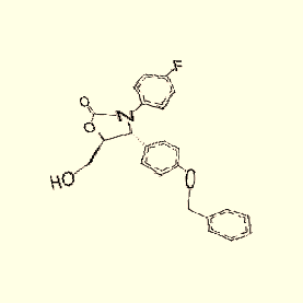 O=C1O[C@H](CO)[C@@H](c2ccc(OCc3ccccc3)cc2)N1c1ccc(F)cc1